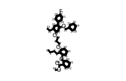 CCCCc1c(OCCCOc2cc(OCc3ccccc3)c(-c3ccc(F)cc3)cc2CC)cccc1Oc1ccccc1C(=O)OC